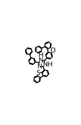 c1ccc(-c2cccc(C3=NC(c4cccc5c4sc4ccccc45)NC(c4ccc5oc6cccc(-c7ccccc7)c6c5c4)N3)c2)cc1